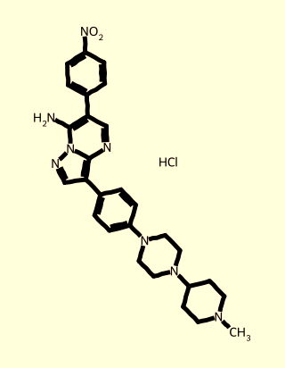 CN1CCC(N2CCN(c3ccc(-c4cnn5c(N)c(-c6ccc([N+](=O)[O-])cc6)cnc45)cc3)CC2)CC1.Cl